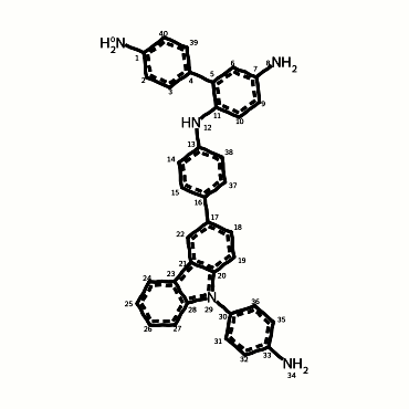 Nc1ccc(-c2cc(N)ccc2Nc2ccc(-c3ccc4c(c3)c3ccccc3n4-c3ccc(N)cc3)cc2)cc1